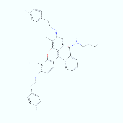 CN(CCCC(=O)O)C(=O)c1ccccc1-c1c2cc/c(=N/CCc3ccc(S(=O)(=O)O)cc3)c(S(=O)(=O)O)c-2oc2c(S(=O)(=O)O)c(NCCc3ccc(S(=O)(=O)O)cc3)ccc12